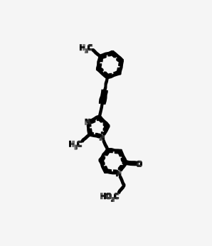 Cc1cccc(C#Cc2cn(-c3ccn(CC(=O)O)c(=O)c3)c(C)n2)c1